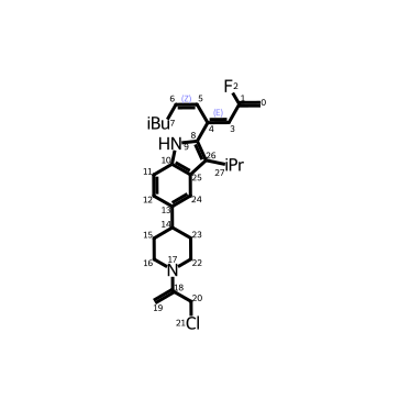 C=C(F)/C=C(\C=C/C(C)CC)c1[nH]c2ccc(C3CCN(C(=C)CCl)CC3)cc2c1C(C)C